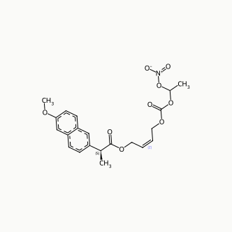 COc1ccc2cc([C@H](C)C(=O)OC/C=C\COC(=O)OC(C)O[N+](=O)[O-])ccc2c1